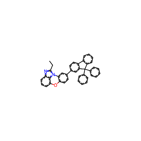 CCc1nc2cccc3c2n1-c1cc(-c2ccc4c(c2)C(c2ccccc2)(c2ccccc2)c2ccccc2-4)ccc1O3